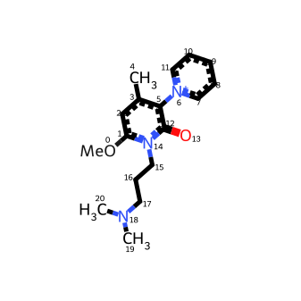 COc1cc(C)c(-[n+]2ccccc2)c(=O)n1CCCN(C)C